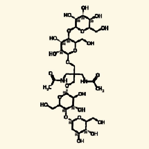 CC(=O)NCC(CNC(C)=O)(COC1OC(CO)[C@H](OC2OC(CO)[C@H](O)[C@@H](O)[C@H]2O)[C@@H](O)[C@H]1O)CO[C@H]1OC(CO)[C@H](O[C@H]2C[C@H](O)[C@@H](O)C(CO)O2)[C@@H](O)C1O